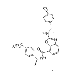 C[C@H](NC(=O)c1cccc2nc(NCc3ccc(Cl)cc3)oc12)c1ccc(C(=O)O)cc1